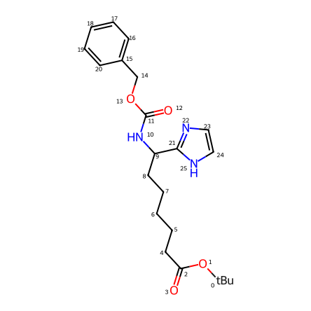 CC(C)(C)OC(=O)CCCCCC(NC(=O)OCc1ccccc1)c1ncc[nH]1